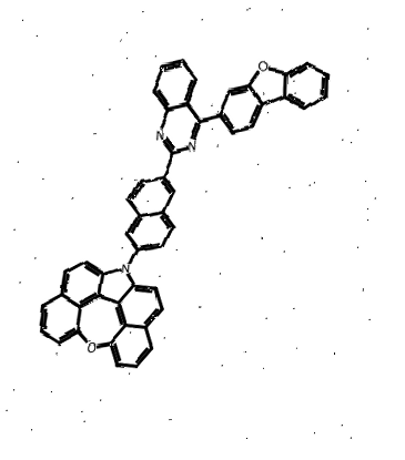 c1ccc2c(-c3ccc4c(c3)oc3ccccc34)nc(-c3ccc4cc(-n5c6ccc7cccc8oc9cccc%10ccc5c(c%109)c6c78)ccc4c3)nc2c1